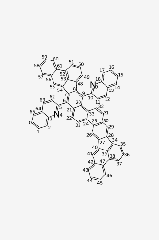 c1ccc2nc(-c3c4c(c(-c5ccc6ccccc6n5)c5c3ccc3c6cc7c(cc6ccc35)-c3cccc5c3c-7cc3ccccc35)-c3cccc5c3c-4cc3ccccc35)ccc2c1